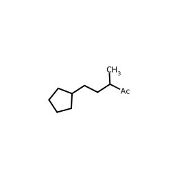 CC(=O)C(C)CCC1CCCC1